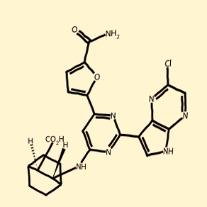 NC(=O)c1ccc(-c2cc(N[C@@H]3C4CCC(CC4)[C@H]3C(=O)O)nc(-c3c[nH]c4ncc(Cl)nc34)n2)o1